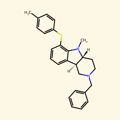 Cc1ccc(Sc2cccc3c2N(C)[C@@H]2CCN(Cc4ccccc4)C[C@@H]32)cc1